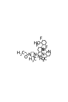 C=CC(=O)N1CCN(c2nc(=O)n(-c3c(C)ccnc3C(C)C)c3nc(-c4c(F)ccc(F)c4O)c(F)cc23)[C@@H](C)C1